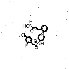 O=C(/C=C/c1ccccc1N1CCC(NS(=O)(=O)Cc2ccc(Cl)cc2F)CC1)NO